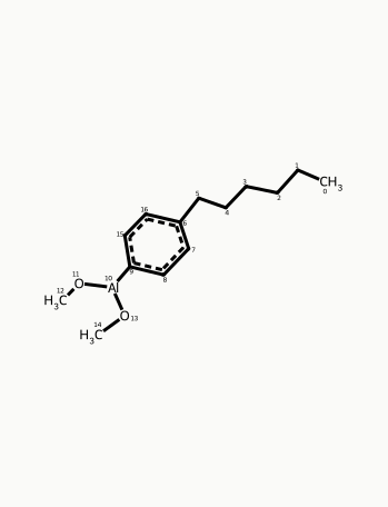 CCCCCCc1cc[c]([Al]([O]C)[O]C)cc1